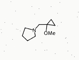 COC1(CN2CCCC2)CC1